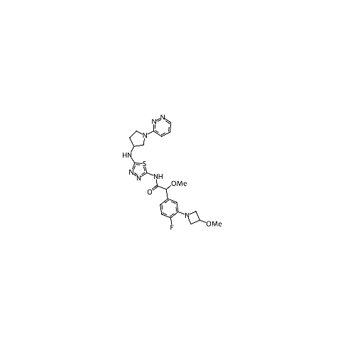 COC1CN(c2cc(C(OC)C(=O)Nc3nnc(NC4CCN(c5cccnn5)C4)s3)ccc2F)C1